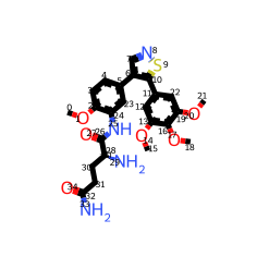 COc1ccc(-c2cnsc2-c2cc(OC)c(OC)c(OC)c2)cc1NC(=O)[C@@H](N)CCC(N)=O